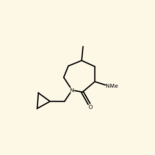 CNC1CC(C)CCN(CC2CC2)C1=O